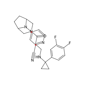 N#Cc1cc(N2C3CCC2CN(C(=O)CCNC2(c4ccc(F)c(F)c4)CC2)C3)ccn1